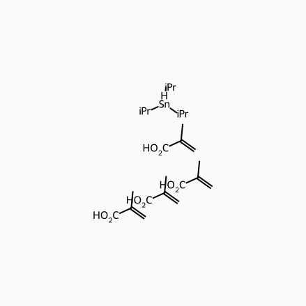 C=C(C)C(=O)O.C=C(C)C(=O)O.C=C(C)C(=O)O.C=C(C)C(=O)O.C[CH](C)[SnH]([CH](C)C)[CH](C)C